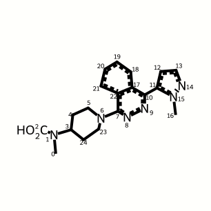 CN(C(=O)O)C1CCN(c2nnc(-c3ccnn3C)c3ccccc23)CC1